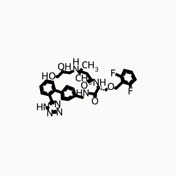 CC(C)(CC(=O)N[C@H](COCc1c(F)cccc1F)C(=O)NCc1ccc(-c2ccccc2-c2nnn[nH]2)cc1)NC[C@H](O)CO